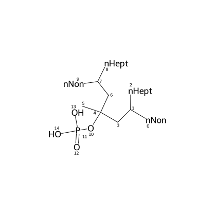 CCCCCCCCCC(CCCCCCC)CC(C)(CC(CCCCCCC)CCCCCCCCC)OP(=O)(O)O